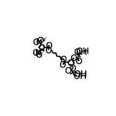 CC(CO)(CO)C(=O)Oc1cc(OC(=O)C(C)(CO)CO)cc(C(=O)OCCCCCCOC(=O)c2cc([N+](=O)[O-])cc([N+](=O)[O-])c2)c1